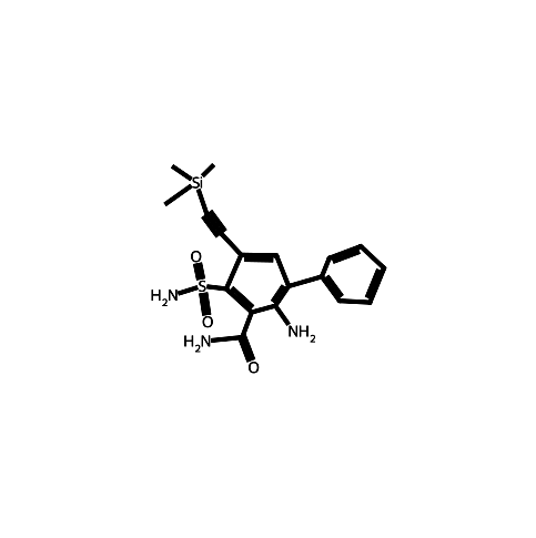 C[Si](C)(C)C#Cc1cc(-c2ccccc2)c(N)c(C(N)=O)c1S(N)(=O)=O